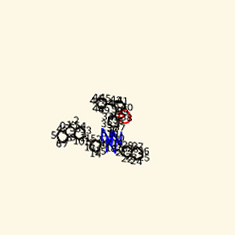 CC1(C)c2ccccc2-c2cc(-c3cccc(-c4nc(-c5ccc6ccccc6c5)nc(-c5ccc6c(c5)oc5cccc(-c7ccccc7)c56)n4)c3)ccc21